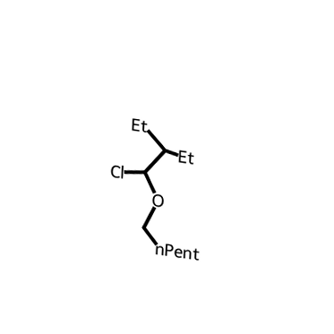 CCCCCCOC(Cl)C(CC)CC